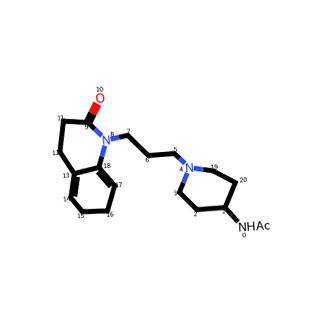 CC(=O)NC1CCN(CCCN2C(=O)CCC3=CCCC=C32)CC1